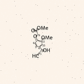 C#CC(O)c1ccc(OCC(=O)OC)c(OC)c1